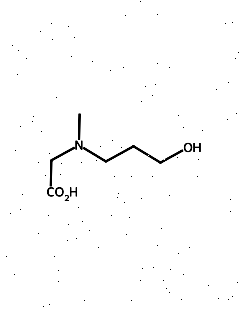 CN(CCCO)CC(=O)O